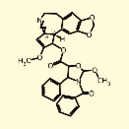 COC1=C[C@]23CCCN2CCc2cc4c(cc2[C@@H]3C1OC(=O)C1OC(OC)N(C(=O)c2ccccc2)C1c1ccccc1)OCO4